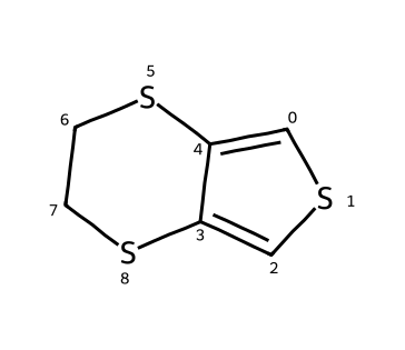 c1scc2c1SCCS2